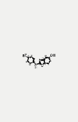 Oc1ccc2oc(Nc3ccc(Br)cc3)nc2c1